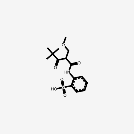 COCC(C(=O)Nc1ccccc1S(=O)(=O)O)C(=O)C(C)(C)C